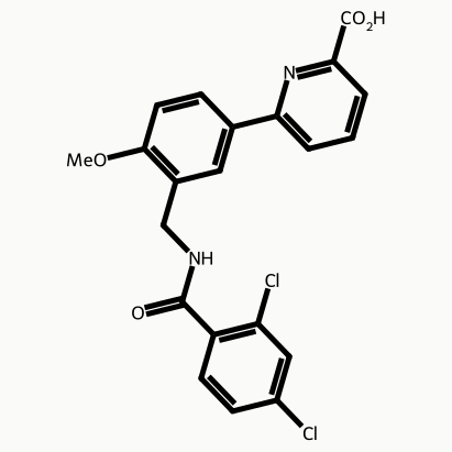 COc1ccc(-c2cccc(C(=O)O)n2)cc1CNC(=O)c1ccc(Cl)cc1Cl